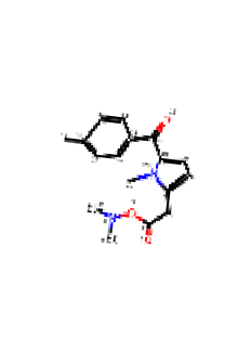 CCN(CC)OC(=O)Cc1ccc(C(=O)c2ccc(C)cc2)n1C